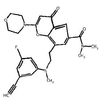 C#Cc1cc(F)cc(N(C)CCc2cc(C(=O)N(C)C)cc3c(=O)cc(N4CCOCC4)oc23)c1